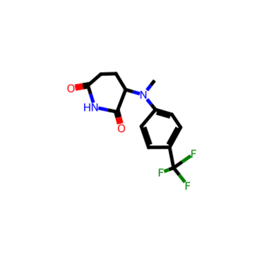 CN(c1ccc(C(F)(F)F)cc1)C1CCC(=O)NC1=O